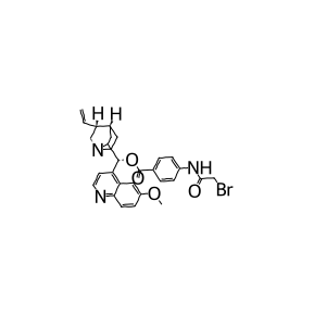 C=C[C@H]1C[N@@]2CC[C@@H]1CC2[C@H](OC(=O)c1ccc(NC(=O)CBr)cc1)c1ccnc2ccc(OC)cc12